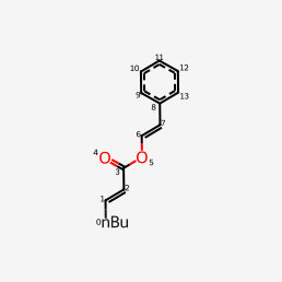 CCCCC=CC(=O)OC=Cc1ccccc1